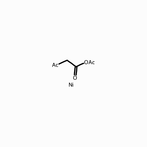 CC(=O)CC(=O)OC(C)=O.[Ni]